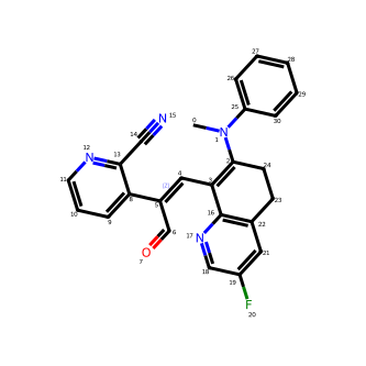 CN(C1=C(/C=C(\C=O)c2cccnc2C#N)c2ncc(F)cc2CC1)c1ccccc1